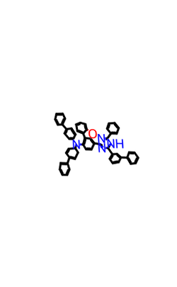 C1=CC(N(c2ccc(-c3ccccc3)cc2)c2ccc(C3=NC(c4cccc(-c5ccccc5)c4)NC(c4ccccc4)=N3)c3oc4ccccc4c23)CC=C1c1ccccc1